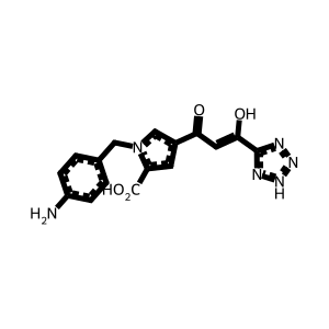 Nc1ccc(Cn2cc(C(=O)C=C(O)c3nn[nH]n3)cc2C(=O)O)cc1